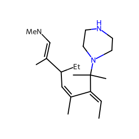 C/C=C(\C(C)=C/C(CC)/C(C)=C/NC)C(C)(C)N1CCNCC1